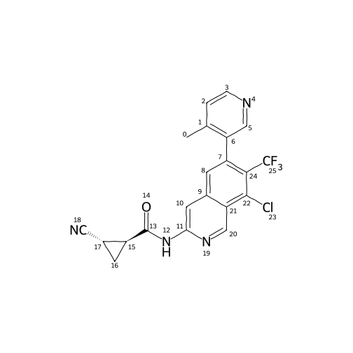 Cc1ccncc1-c1cc2cc(NC(=O)[C@H]3C[C@@H]3C#N)ncc2c(Cl)c1C(F)(F)F